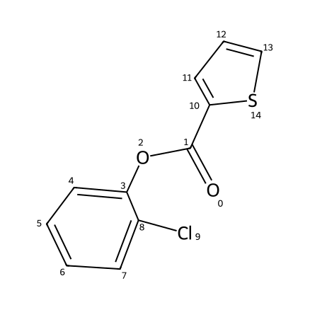 O=C(Oc1ccccc1Cl)c1cccs1